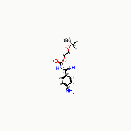 CC(C)(C)[Si](C)(C)OCCOC(=O)NC(=N)c1ccc(N)cc1